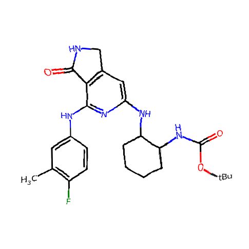 Cc1cc(Nc2nc(NC3CCCCC3NC(=O)OC(C)(C)C)cc3c2C(=O)NC3)ccc1F